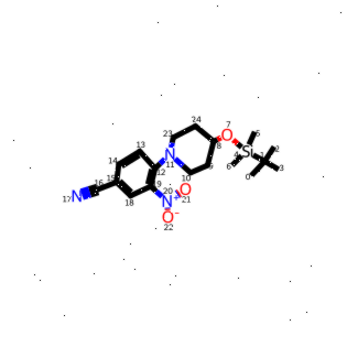 CC(C)(C)[Si](C)(C)OC1CCN(c2ccc(C#N)cc2[N+](=O)[O-])CC1